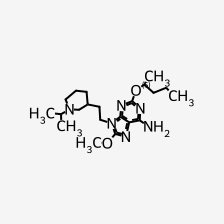 CCC[C@H](C)Oc1nc(N)c2nc(OC)n(CCC3CCCN(C(C)C)C3)c2n1